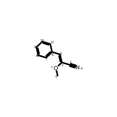 COC(C#N)=Cc1c[c]ccc1